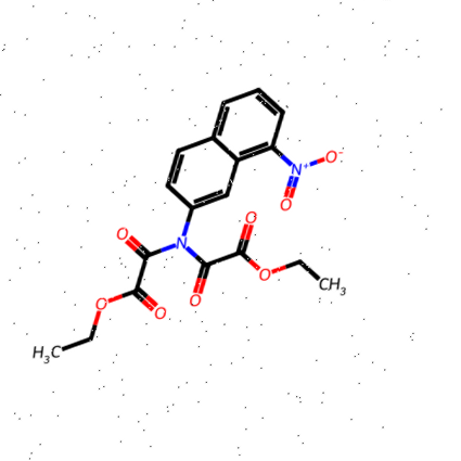 CCOC(=O)C(=O)N(C(=O)C(=O)OCC)c1ccc2cccc([N+](=O)[O-])c2c1